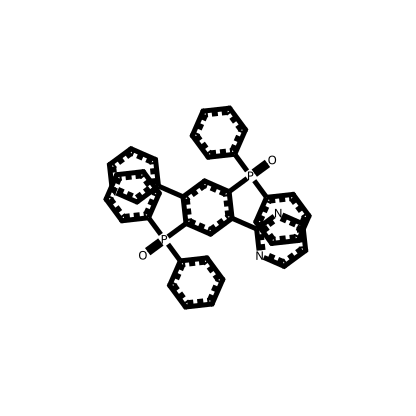 O=P(c1ccccc1)(c1ccccc1)c1cc(-c2ncccn2)c(P(=O)(c2ccccc2)c2ccccc2)cc1-c1cccnc1